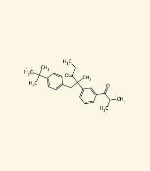 CCC(=O)C(C)(Cc1ccc(C(C)(C)C)cc1)c1cccc(C(=O)C(C)C)c1